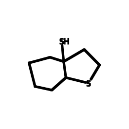 SC12CCCCC1SCC2